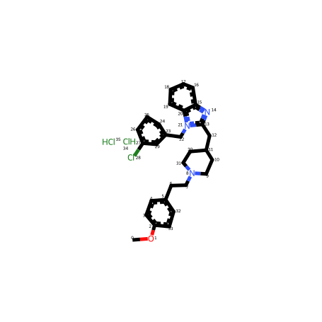 COc1ccc(CCN2CCC(Cc3nc4ccccc4n3Cc3cccc(Cl)c3)CC2)cc1.Cl.Cl